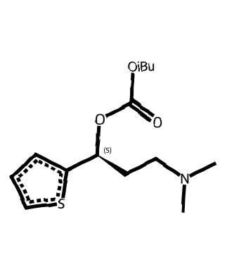 CC(C)COC(=O)O[C@@H](CCN(C)C)c1cccs1